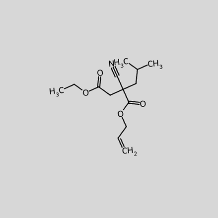 C=CCOC(=O)C(C#N)(CC(=O)OCC)CC(C)C